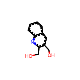 OCc1cc2ccccc2nc1CO